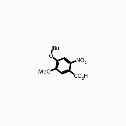 CCC(C)Oc1cc([N+](=O)[O-])c(C(=O)O)cc1OC